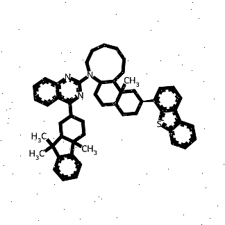 CC1(C)c2ccccc2C2(C)CCC(c3nc(N4CCCCCCC5C4CCC4CC[C@H](c6cccc7c6sc6ccccc67)CC45C)nc4ccccc34)CC12